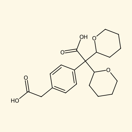 O=C(O)Cc1ccc(C(C(=O)O)(C2CCCCO2)C2CCCCO2)cc1